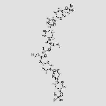 CC(Cc1ccc(-c2ncn(-c3ccc(OC(F)(F)F)cc3)n2)cc1)OC(=O)OC(C)Cc1ccc(-c2ncn(-c3ccc(OC(F)(F)F)cc3)n2)cc1